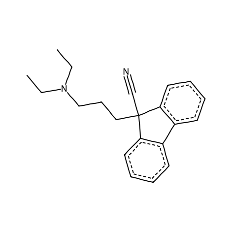 CCN(CC)CCCC1(C#N)c2ccccc2-c2ccccc21